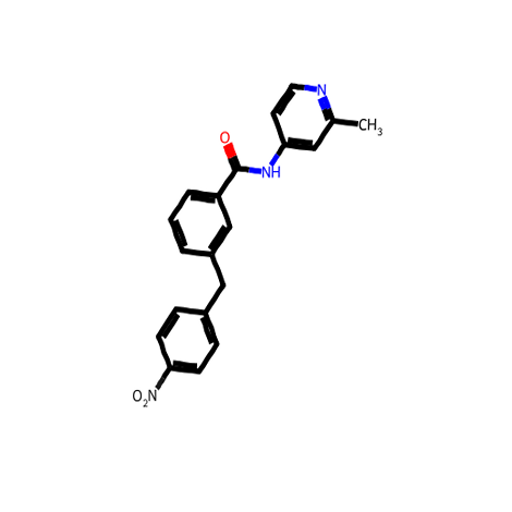 Cc1cc(NC(=O)c2cccc(Cc3ccc([N+](=O)[O-])cc3)c2)ccn1